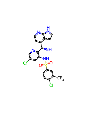 N=C(c1ncc(Cl)cc1NS(=O)(=O)c1ccc(Cl)c(C(F)(F)F)c1)c1ccnc2[nH]ccc12